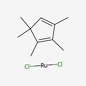 CC1=CC(C)(C)C(C)=C1C.[Cl][Ru][Cl]